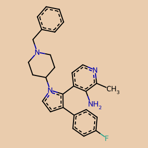 Cc1nccc(-c2c(-c3ccc(F)cc3)ccn2C2CCN(Cc3ccccc3)CC2)c1N